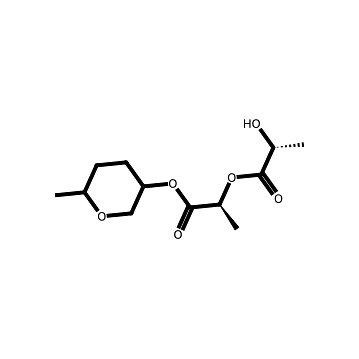 CC1CCC(OC(=O)[C@H](C)OC(=O)[C@@H](C)O)CO1